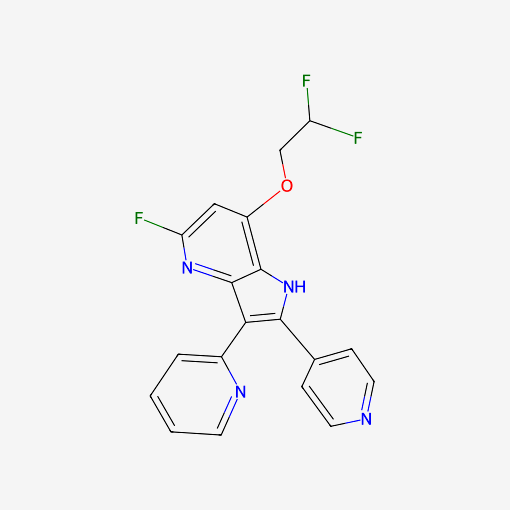 Fc1cc(OCC(F)F)c2[nH]c(-c3ccncc3)c(-c3ccccn3)c2n1